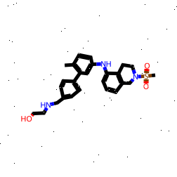 Cc1ccc(Nc2cccc3c2CCN(S(C)(=O)=O)C3)cc1-c1ccc(CNCCO)cc1